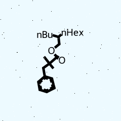 CCCCCCC(CCCC)COC(=O)C(C)(C)Cc1ccccc1